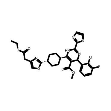 CCOC(=O)Cc1coc([C@H]2CC[C@H](C3=C(C(=O)OC)C(c4cccc(F)c4Cl)N=C(c4nccs4)N3)CC2)n1